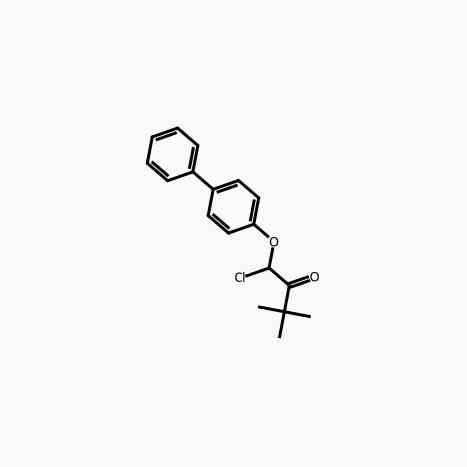 CC(C)(C)C(=O)C(Cl)Oc1ccc(-c2ccccc2)cc1